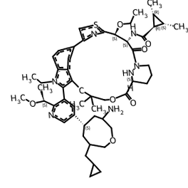 CCO[C@@H]1c2nc(cs2)-c2ccc3c(c2)c(c(-c2cc([C@@H]4CC(N)COCC(CC5CC5)C4)cnc2[C@H](C)OC)n3CC)CC(C)(C)COC(=O)[C@@H]2CCCN(N2)C(=O)[C@H]1NC(=O)[C@H]1[C@H](C)[C@@H]1C